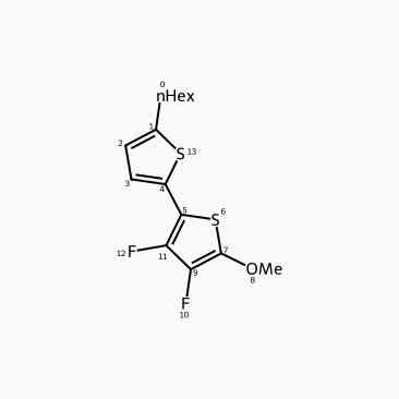 CCCCCCc1ccc(-c2sc(OC)c(F)c2F)s1